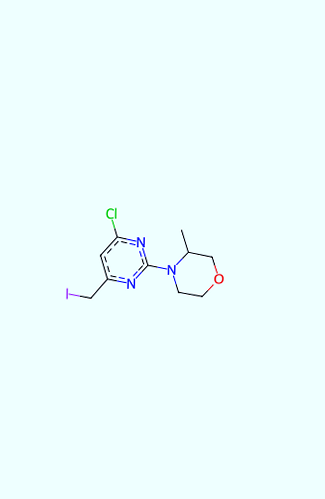 CC1COCCN1c1nc(Cl)cc(CI)n1